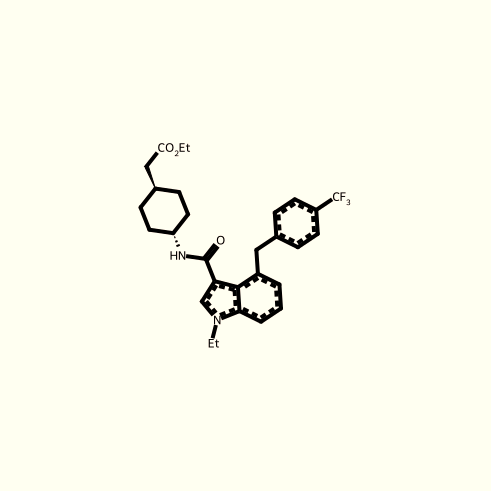 CCOC(=O)C[C@H]1CC[C@H](NC(=O)c2cn(CC)c3cccc(Cc4ccc(C(F)(F)F)cc4)c23)CC1